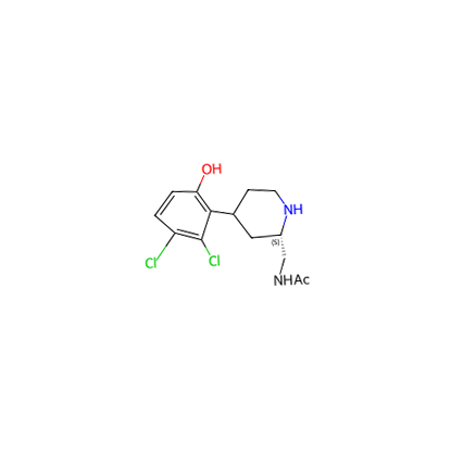 CC(=O)NC[C@@H]1CC(c2c(O)ccc(Cl)c2Cl)CCN1